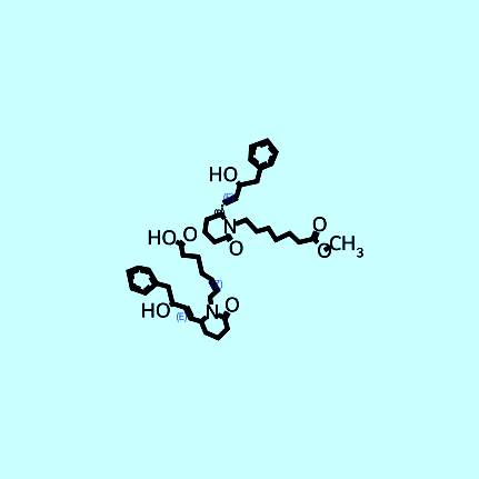 COC(=O)CCCCCCN1C(=O)CCC[C@@H]1/C=C/C(O)Cc1ccccc1.O=C(O)CCC/C=C\CN1C(=O)CCCC1/C=C/C(O)Cc1ccccc1